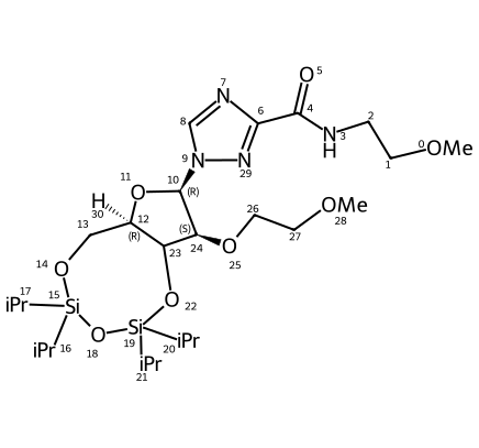 COCCNC(=O)c1ncn([C@@H]2O[C@@H]3CO[Si](C(C)C)(C(C)C)O[Si](C(C)C)(C(C)C)OC3[C@@H]2OCCOC)n1